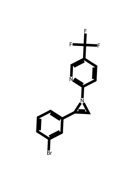 FC(F)(F)c1ccc(N2C=C2c2cccc(Br)c2)nc1